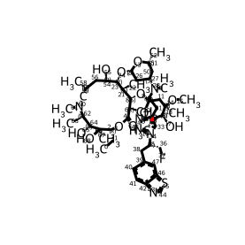 CC[C@H]1OC(=O)[C@H](C)[C@@H](O[C@H]2C[C@@](C)(OC)[C@@H](O)[C@H](C)O2)[C@H](C)[C@@H](O[C@H]2C[C@@H](N(C)CCc3cn([C@H](CF)Cc4ccc5ncsc5c4)nn3)C[C@@H](C)O2)[C@H](O)C[C@@H](C)CN(C)[C@H](C)[C@@H](O)[C@]1(C)O